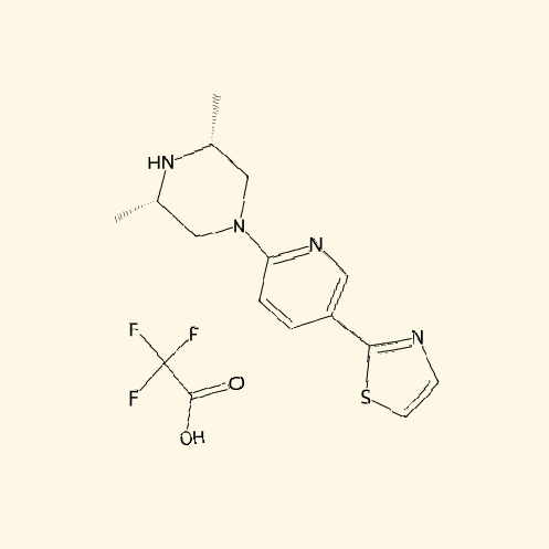 C[C@@H]1CN(c2ccc(-c3nccs3)cn2)C[C@H](C)N1.O=C(O)C(F)(F)F